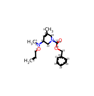 C=CCON(C)C1C=C(C)CN(C(=O)OCc2ccccc2)C1